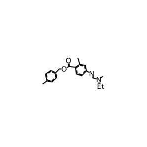 CCN(C)/C=N/c1ccc(C(=O)OCc2ccc(C)cc2)c(C)c1